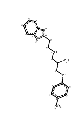 O=[N+]([O-])c1ccc(OCC(O)CNCCc2nc3ccccc3o2)cc1